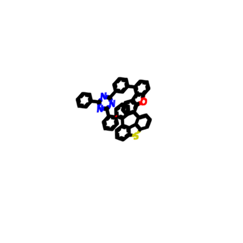 C1=CC2Sc3cccc(-c4ccccc4)c3C2C(c2cccc3c2oc2cccc(-c4cccc(-c5nc(-c6ccccc6)nc(-c6ccccc6)n5)c4)c23)=C1